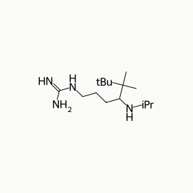 CC(C)NC(CCCNC(=N)N)C(C)(C)C(C)(C)C